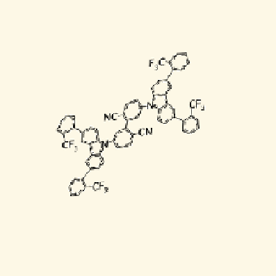 N#Cc1ccc(-n2c3ccc(-c4ccccc4C(F)(F)F)cc3c3cc(-c4ccccc4C(F)(F)F)ccc32)cc1-c1cc(-n2c3ccc(-c4ccccc4C(F)(F)F)cc3c3cc(-c4ccccc4C(F)(F)F)ccc32)ccc1C#N